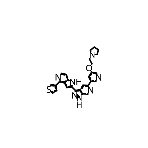 c1cc2[nH]c(-c3n[nH]c4cnc(-c5cncc(OCCN6CCCC6)c5)cc34)cc2c(-c2ccsc2)n1